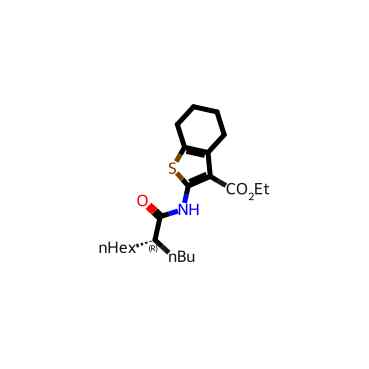 CCCCCC[C@@H](CCCC)C(=O)Nc1sc2c(c1C(=O)OCC)CCCC2